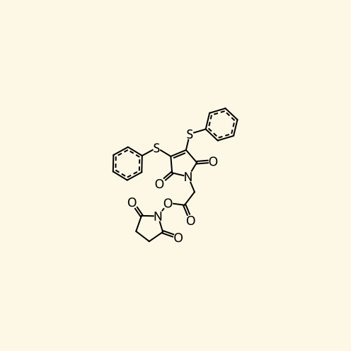 O=C(CN1C(=O)C(Sc2ccccc2)=C(Sc2ccccc2)C1=O)ON1C(=O)CCC1=O